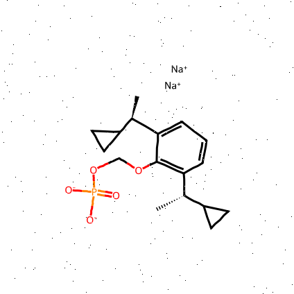 C[C@H](c1cccc([C@H](C)C2CC2)c1OCOP(=O)([O-])[O-])C1CC1.[Na+].[Na+]